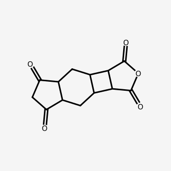 O=C1CC(=O)C2CC3C(CC12)C1C(=O)OC(=O)C31